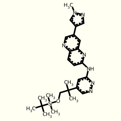 Cn1cc(-c2cnc3ccc(Nc4cc(C(C)(C)CO[Si](C)(C)C(C)(C)C)cnn4)nc3c2)cn1